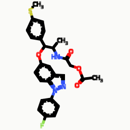 CSc1ccc(C(Oc2ccc3c(cnn3-c3ccc(F)cc3)c2)C(C)NC(=O)COC(C)=O)cc1